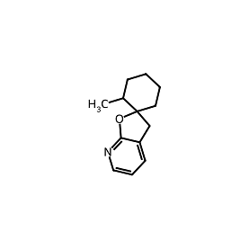 CC1CCCCC12Cc1cccnc1O2